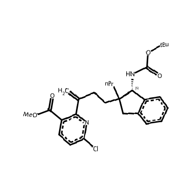 C=C(CCC1(CCC)Cc2ccccc2[C@H]1NC(=O)OC(C)(C)C)c1nc(Cl)ccc1C(=O)OC